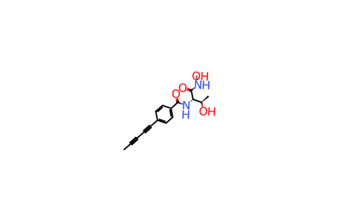 CC#CC#Cc1ccc(C(=O)N[C@H](C(=O)NO)[C@@H](C)O)cc1